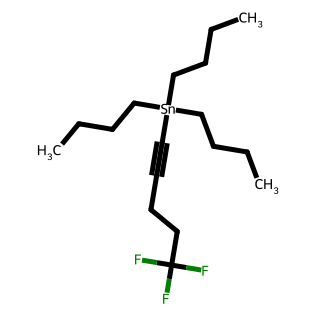 CCC[CH2][Sn]([C]#CCCC(F)(F)F)([CH2]CCC)[CH2]CCC